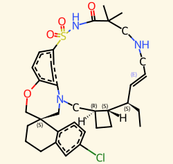 CC[C@@H]1/C=C/CNCC(C)(C)C(=O)NS(=O)(=O)c2ccc3c(c2)N(C[C@@H]2CC[C@H]21)C[C@@]1(CCCc2cc(Cl)ccc21)CO3